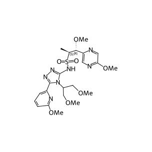 COCC(COC)n1c(NS(=O)(=O)[C@@H](C)[C@H](OC)c2cnc(OC)cn2)nnc1-c1cccc(OC)n1